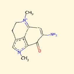 Cn1cc2c3c1C(=O)C(N)=CC3=[N+](C)CC2